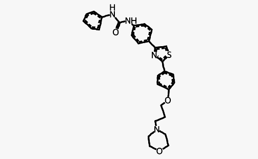 O=C(Nc1ccccc1)Nc1ccc(-c2csc(-c3ccc(OCCCN4CCOCC4)cc3)n2)cc1